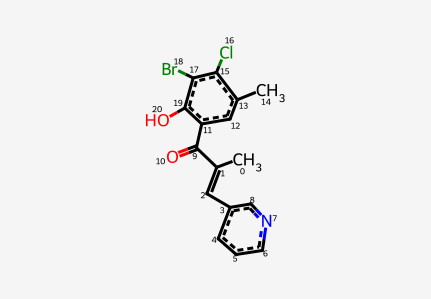 C/C(=C\c1cccnc1)C(=O)c1cc(C)c(Cl)c(Br)c1O